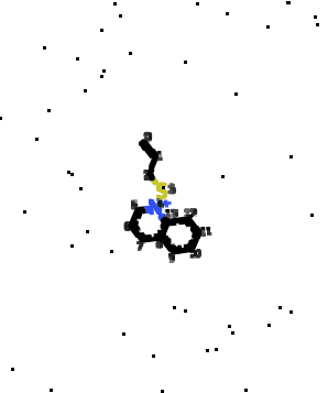 C=CCS[n+]1cccc2ccccc21